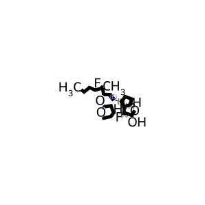 CCCCC(C)(F)C(/C=C/[C@@H]1CC[C@H]2OC(O)[C@H](F)[C@@H]12)OC1CCCCO1